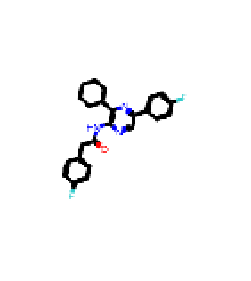 O=C(Cc1ccc(F)cc1)Nc1ncc(-c2ccc(F)cc2)nc1C1CCCCC1